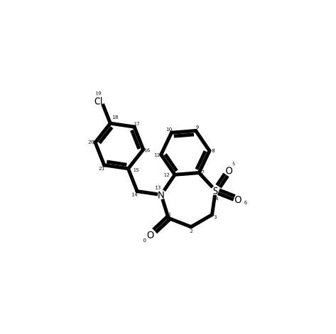 O=C1CCS(=O)(=O)c2ccccc2N1Cc1ccc(Cl)cc1